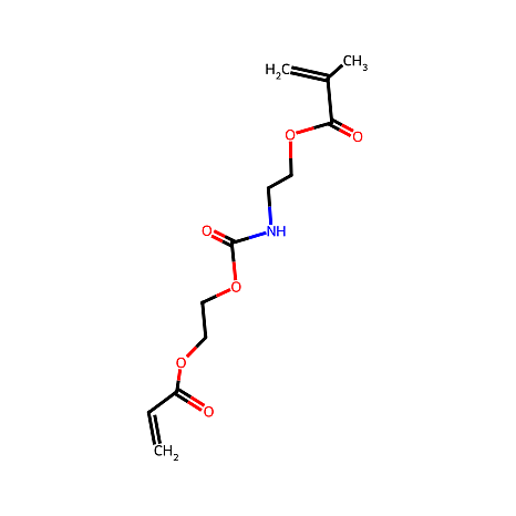 C=CC(=O)OCCOC(=O)NCCOC(=O)C(=C)C